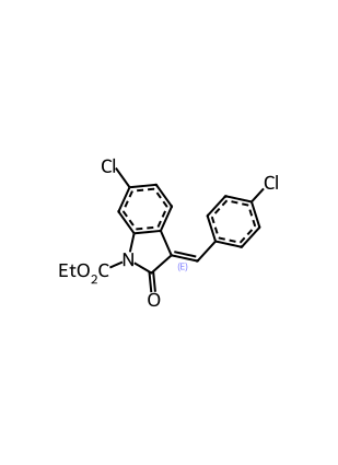 CCOC(=O)N1C(=O)/C(=C/c2ccc(Cl)cc2)c2ccc(Cl)cc21